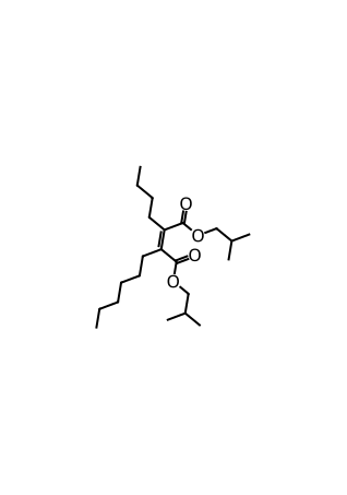 CCCCCC/C(C(=O)OCC(C)C)=C(\CCCC)C(=O)OCC(C)C